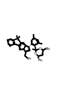 CCC(C)C1CC(C(C)CC)OC(C)(c2c(C)cc(C)cc2[C@@H]2C=C(CC(C)C)c3cc4c(cc32)C(C)(C)c2ccccc2-4)O1